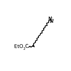 CCOC(=O)CCCC1CC1CCCCCCCCCCCCCCCCCCCC(N(C)C)N(C)C